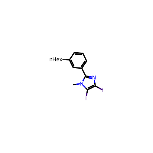 CCCCCCc1cccc(-c2nc(I)c(I)n2C)c1